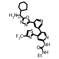 CCNC(=O)Nc1cc(-c2nc(C(F)(F)F)cs2)c(-c2cncc(-c3nnc([C@@H](N)C4CCCCC4)o3)c2)cn1